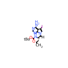 [2H]C([C@H](CC=C)NC(=O)OC(C)(C)C)n1cc(I)c2c(N)ncnc21